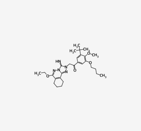 CCCCOc1cc(C(=O)Cn2nc3c4c(c(OCC)nn3c2=N)CCCC4)cc(C(C)(C)C)c1OC